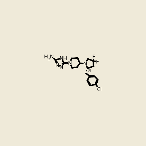 Nc1nnc(N2CCC(N3CC(F)(F)C[C@@H]3Cc3ccc(Cl)cc3)CC2)[nH]1